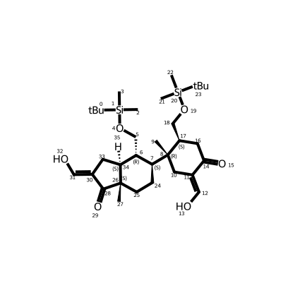 CC(C)(C)[Si](C)(C)OC[C@@H]1[C@@H]([C@@]2(C)CC(=CO)C(=O)C[C@@H]2CO[Si](C)(C)C(C)(C)C)CC[C@]2(C)C(=O)C(=CO)C[C@@H]12